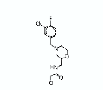 O=C(CCl)NCC1CN(Cc2ccc(F)c(Cl)c2)CCO1